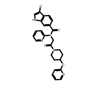 O=C(CN(C(=O)c1ccc2c(Cl)c[nH]c2c1)c1ccccn1)N1CCC(Oc2ccccn2)CC1